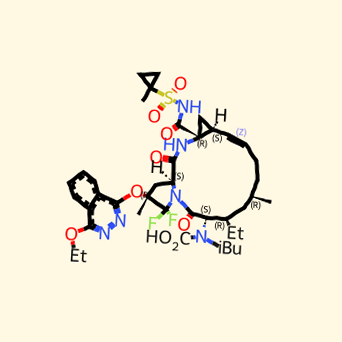 CCOc1nnc(O[C@]2(C)C[C@H]3C(=O)N[C@]4(C(=O)NS(=O)(=O)C5(C)CC5)C[C@H]4/C=C\CC[C@@H](C)C[C@@H](CC)[C@H](N(C(=O)O)C(C)CC)C(=O)N3C2(F)F)c2ccccc12